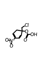 O=C(O)OC1(CCl)C=CC([N+](=O)[O-])=CC1